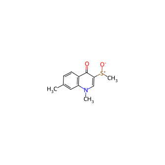 Cc1ccc2c(=O)c([S+](C)[O-])cn(C)c2c1